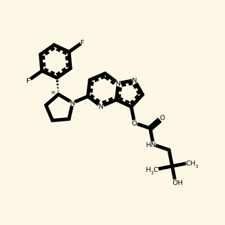 CC(C)(O)CNC(=O)Oc1cnn2ccc(N3CCC[C@@H]3c3cc(F)ccc3F)nc12